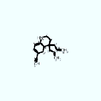 C#CC1=CC=C2NCCC(CC=C)(CC=C)C2C1